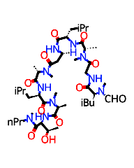 CCCN(C)C(=O)[C@@H](NC(=O)[C@H](C)N(C)C(=O)[C@@H](CC(C)C)NC(=O)[C@H](C)N(C)C(=O)C[C@@H](C)NC(=O)[C@H](CC(C)C)NC(=O)[C@H](C)N(C)C(=O)CNC(=O)[C@H]([C@@H](C)CC)N(C)C=O)[C@@H](C)O